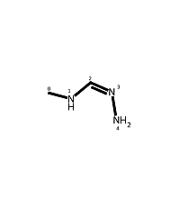 CN/C=N\N